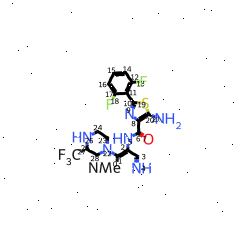 CN/C(=C(\C=N)NC(=O)c1nc(-c2c(F)cccc2F)sc1N)N1CCN[C@H](C(F)(F)F)C1